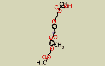 C=CC(=O)OCCCOc1ccc(OC(=O)/C=C/c2ccc(OCCCCOC(=O)C(=C)CO)cc2)cc1C